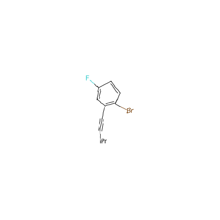 CC(C)C#Cc1cc(F)ccc1Br